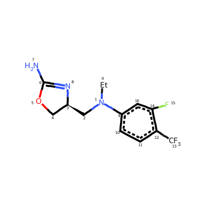 CCN(C[C@H]1COC(N)=N1)c1ccc(C(F)(F)F)c(F)c1